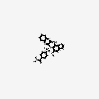 COc1cc(Nc2nc3ccccc3nc2NS(=O)(=O)c2ccc(C(=O)N(C)C)cc2)c2occc2c1